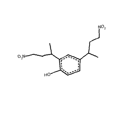 CC(CC[N+](=O)[O-])c1ccc(O)c(C(C)CC[N+](=O)[O-])c1